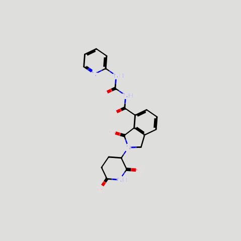 O=C1CCC(N2Cc3cccc(C(=O)NC(=O)Nc4ccccn4)c3C2=O)C(=O)N1